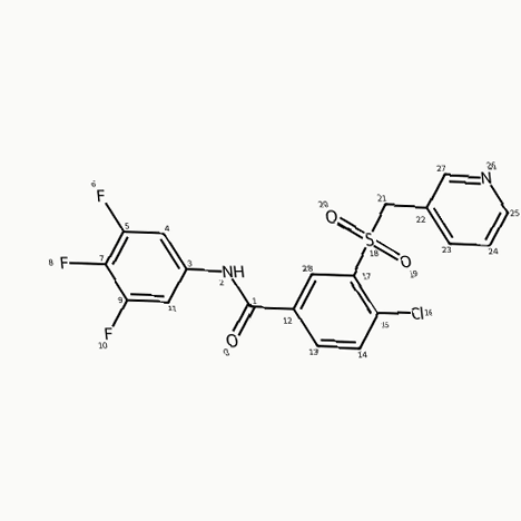 O=C(Nc1cc(F)c(F)c(F)c1)c1ccc(Cl)c(S(=O)(=O)Cc2cccnc2)c1